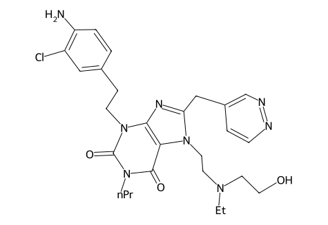 CCCn1c(=O)c2c(nc(Cc3ccnnc3)n2CCN(CC)CCO)n(CCc2ccc(N)c(Cl)c2)c1=O